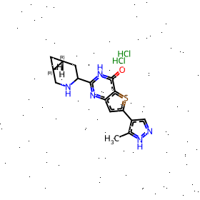 Cc1[nH]ncc1-c1cc2nc(C3C[C@H]4C[C@H]4CN3)[nH]c(=O)c2s1.Cl.Cl